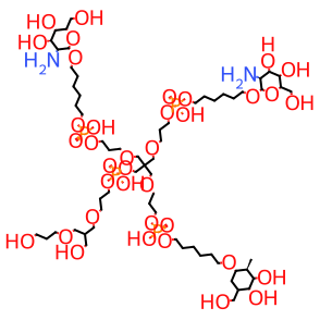 C[C@H]1C(O)[C@@H](O)C(CO)C[C@H]1OCCCCCCOP(=O)(O)OCCCOCC(COCCCOP(=O)(O)OCCCCCCO[C@@H]1OC(CO)[C@H](O)[C@H](O)C1N)(COCCCOP(=O)(O)OCCCCCCO[C@@H]1OC(CO)[C@H](O)C(O)[C@@H]1N)COP(=O)(O)OCCCOCC(CO)COCCCO